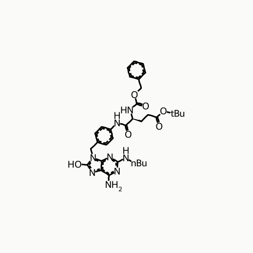 CCCCNc1nc(N)c2nc(O)n(Cc3ccc(NC(=O)[C@H](CCC(=O)OC(C)(C)C)NC(=O)OCc4ccccc4)cc3)c2n1